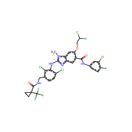 Cn1c(Nc2c(Cl)ccc(CNC(=O)C3(C(F)(F)F)CC3)c2Cl)nc2cc(C(=O)Nc3ccc(F)c(Cl)c3)c(OCC(F)F)cc21